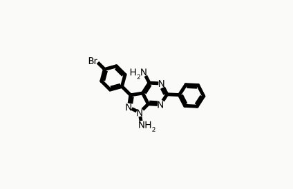 Nc1nc(-c2ccccc2)nc2c1c(-c1ccc(Br)cc1)nn2N